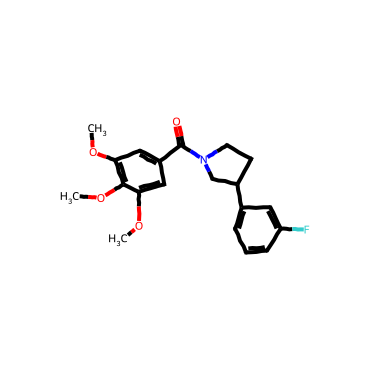 COc1cc(C(=O)N2CCC(c3cccc(F)c3)C2)cc(OC)c1OC